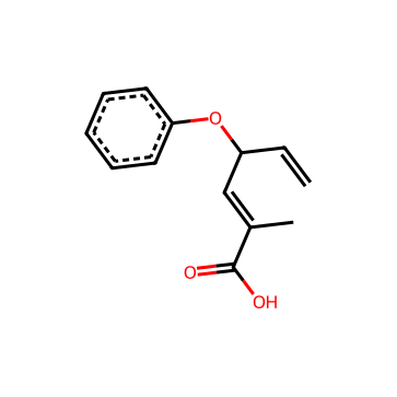 C=CC(C=C(C)C(=O)O)Oc1ccccc1